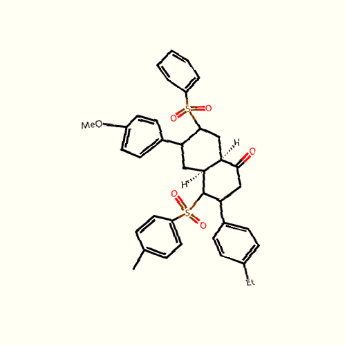 CCc1ccc(C2CC(=O)[C@@H]3CC(S(=O)(=O)c4ccccc4)C(c4ccc(OC)cc4)C[C@@H]3C2S(=O)(=O)c2ccc(C)cc2)cc1